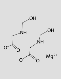 O=C([O-])CNCO.O=C([O-])CNCO.[Mg+2]